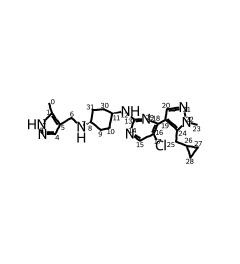 Cc1[nH]ncc1CN[C@H]1CC[C@H](Nc2ncc(Cl)c(-c3cnn(C)c3CC3CC3)n2)CC1